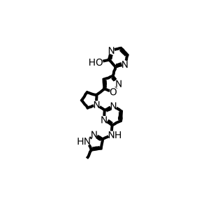 Cc1cc(Nc2ccnc(N3CCCC3c3cc(-c4nccnc4O)no3)n2)n[nH]1